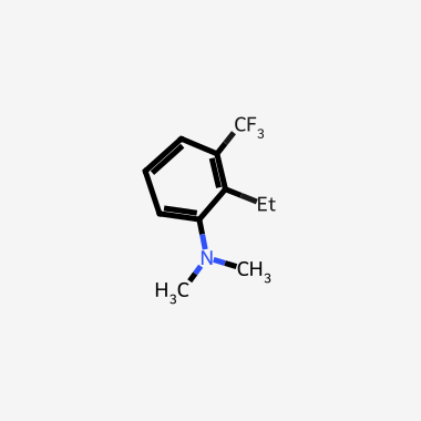 CCc1c(N(C)C)cccc1C(F)(F)F